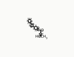 CC1(O)CC(C(=O)N2CC3(CCC(c4ccn(-c5ccccc5)n4)CC3)C2)C1